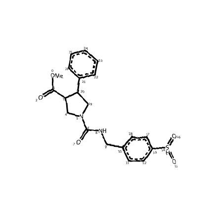 COC(=O)C1CN(C(=O)NCc2ccc([SH](=O)=O)cc2)CC1c1ccccc1